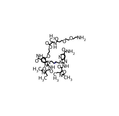 CCc1nc(C)oc1C(=O)Nc1nc2cc(C(N)=O)cnc2n1C/C=C/Cn1c(NC(=O)c2oc(C)nc2CC)nc2cc(C(N)=O)cc(OCCCOC(=O)[C@H](C)NC(=O)CCOCCOCCN)c21